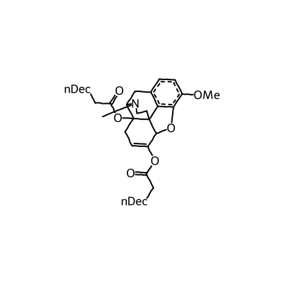 CCCCCCCCCCCC(=O)OC1=CCC2(OC(=O)CCCCCCCCCCC)C3Cc4ccc(OC)c5c4C2(CCN3C)C1O5